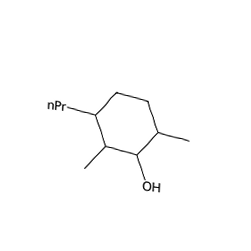 CCCC1CCC(C)C(O)C1C